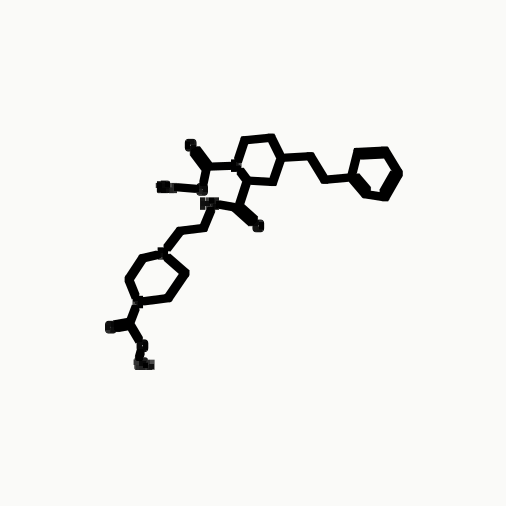 CC(C)(C)OC(=O)N1CCN(CCNC(=O)C2CC(CCc3ccccc3)CCN2C(=O)OC(C)(C)C)CC1